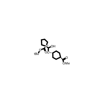 COC(=O)[C@H]1CC[C@H](OC(O)[N+]2(C(=O)OC(C)(C)C)CCCC2)CC1